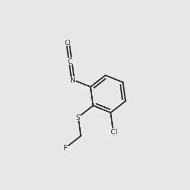 O=C=Nc1cccc(Cl)c1SCF